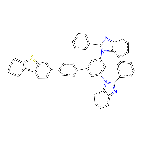 c1ccc(-c2nc3ccccc3n2-c2cc(-c3ccc(-c4ccc5c(c4)sc4ccccc45)cc3)cc(-n3c(-c4ccccc4)nc4ccccc43)c2)cc1